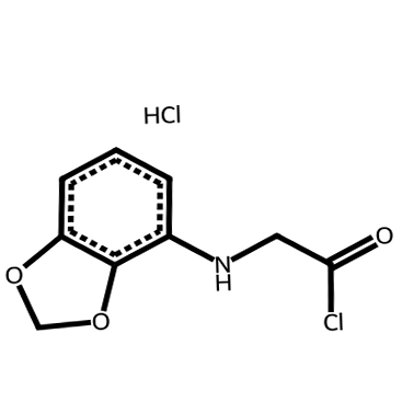 Cl.O=C(Cl)CNc1cccc2c1OCO2